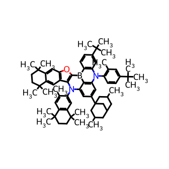 Cc1cc(C(C)(C)C)ccc1N1c2cc(C(C)(C)C)ccc2B2c3oc4cc5c(cc4c3N(c3cc4c(cc3C)C(C)(C)CCC4(C)C)c3cc(C46CC(C)CC(CC(C)C4)C6)cc1c32)C(C)(C)CCC5(C)C